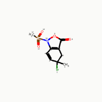 CC1(Br)C=Cc2c(c(=O)on2S(C)(=O)=O)C1